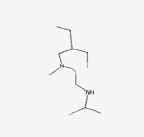 CCC(CC)CN(C)CCNC(C)C